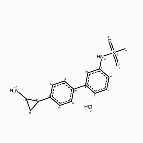 CS(=O)(=O)Nc1cccc(-c2ccc(C3CC3N)cc2)c1.Cl